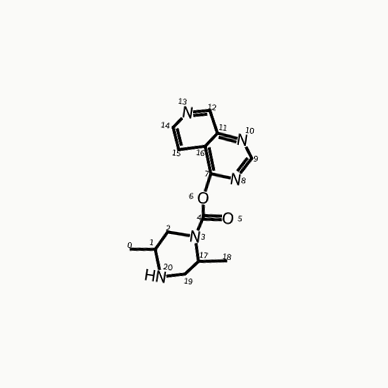 CC1CN(C(=O)Oc2ncnc3cnccc23)C(C)CN1